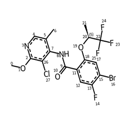 COc1ncc(C)c(NC(=O)c2cc(F)c(Br)cc2O[C@@H](C)C(F)(F)F)c1Cl